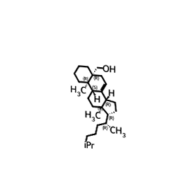 CC(C)CCC[C@@H](C)[C@H]1CC[C@H]2C3=CC[C@]4(CO)CCCC[C@]4(C)[C@H]3CC[C@]12C